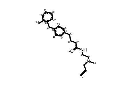 C=CCN(C)CCNC(=O)CCCc1ccc(Cc2ccccc2C)cc1